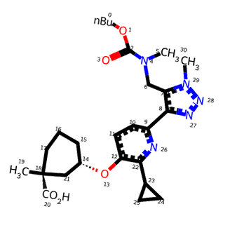 CCCCOC(=O)N(C)Cc1c(-c2ccc(O[C@H]3CCC[C@](C)(C(=O)O)C3)c(C3CC3)n2)nnn1C